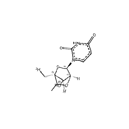 [2H]C[C@@]12O[C@@H](n3ccc(=O)[nH]c3=O)[C@@H](OC1C)[C@H]2O